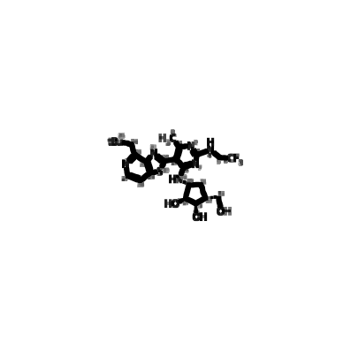 Cc1nc(NCC(F)(F)F)nc(N[C@@H]2C[C@H](CO)[C@@H](O)[C@H]2O)c1-c1nc2c(CC(C)(C)C)nccc2s1